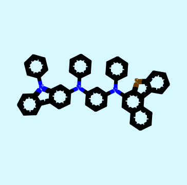 c1ccc(N(c2cccc(N(c3ccccc3)c3cc4ccccc4c4c3sc3ccccc34)c2)c2ccc3c4ccccc4n(-c4ccccc4)c3c2)cc1